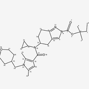 CCC(C)(C)OC(=O)n1cc2c(n1)CCC(N(C(=O)c1cc(C)n(CC3CCOCC3)c1C)C1CC1)C2